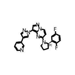 Fc1ccc(F)c([C@H]2CCCN2c2ccn3ncc(-n4cc(-c5cccnc5)cn4)c3n2)c1